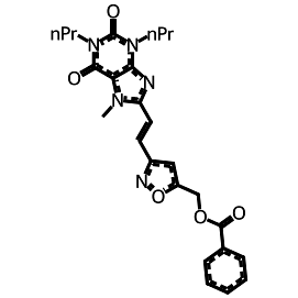 CCCn1c(=O)c2c(nc(C=Cc3cc(COC(=O)c4ccccc4)on3)n2C)n(CCC)c1=O